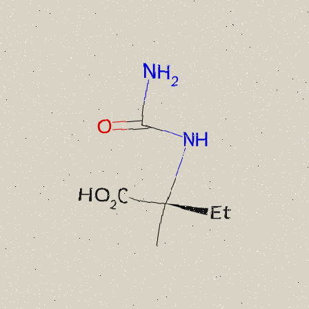 CC[C@](C)(NC(N)=O)C(=O)O